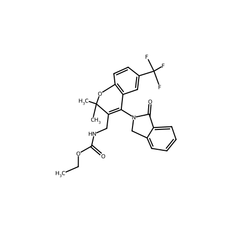 CCOC(=O)NCC1=C(N2Cc3ccccc3C2=O)c2cc(C(F)(F)F)ccc2OC1(C)C